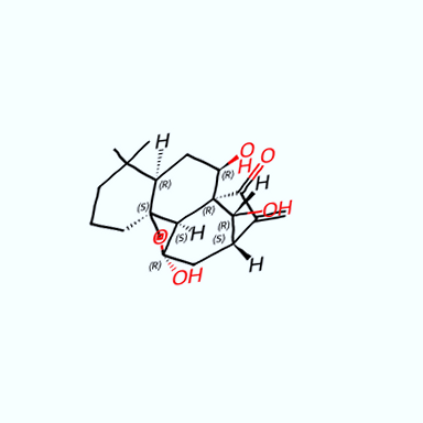 C=C1C(=O)[C@]23[C@H](O)C[C@@H]4C(C)(C)CCC[C@]45CO[C@](O)(C[C@@H]1[C@H]2O)[C@@H]53